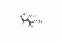 CCOC(=O)/C(C)=C(C(=O)OCC)/C(I)=N\C